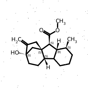 C=C1C[C@]23C[C@@]1(O)CC[C@H]2C1CCC[C@H](C)[C@H]1[C@@H]3C(=O)OC